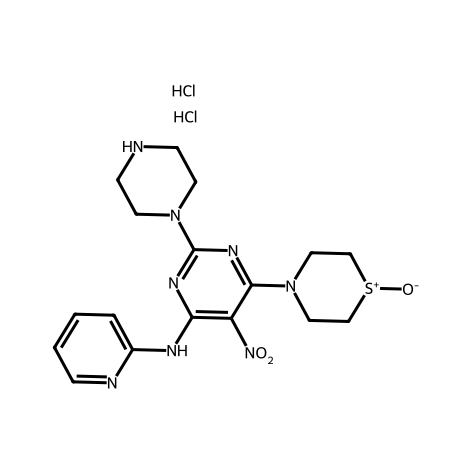 Cl.Cl.O=[N+]([O-])c1c(Nc2ccccn2)nc(N2CCNCC2)nc1N1CC[S+]([O-])CC1